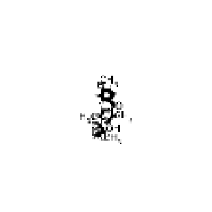 COc1ccc(C(=O)N2C[C@@H](C)N(C(=O)C(C)(O)C(F)(F)F)C[C@H]2C)cc1